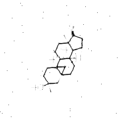 C[C@H]1C23CC[C@@](C)(O)C[C@]12CC[C@@H]1[C@@H]3CC[C@]2(C)C(=O)CC[C@@H]12